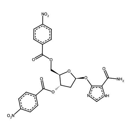 NC(=O)c1[nH]cnc1O[C@H]1C[C@H](OC(=O)c2ccc([N+](=O)[O-])cc2)[C@@H](COC(=O)c2ccc([N+](=O)[O-])cc2)O1